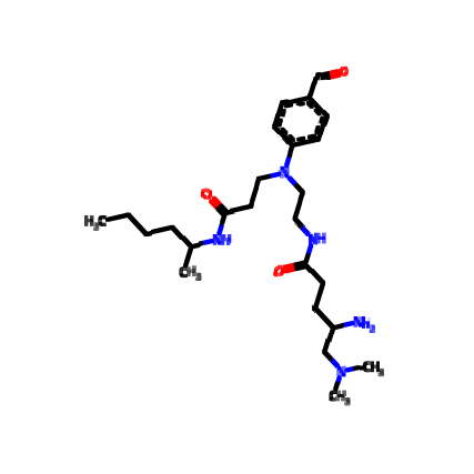 CCCCC(C)NC(=O)CCN(CCNC(=O)CCC(N)CN(C)C)c1ccc(C=O)cc1